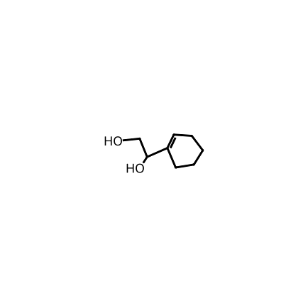 OCC(O)C1=CCCCC1